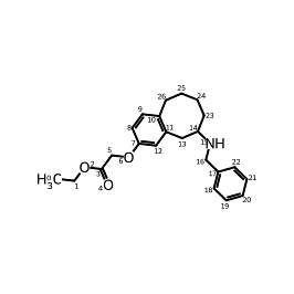 CCOC(=O)COc1ccc2c(c1)CC(NCc1ccccc1)CCCC2